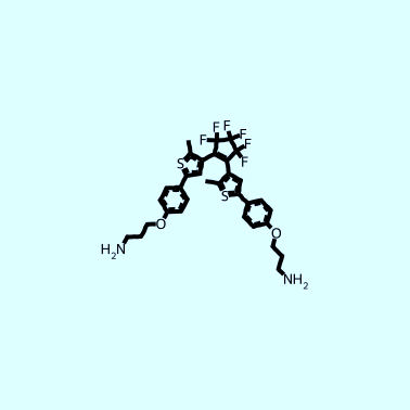 Cc1sc(-c2ccc(OCCCN)cc2)cc1C1=C(c2cc(-c3ccc(OCCCN)cc3)sc2C)C(F)(F)C(F)(F)C1(F)F